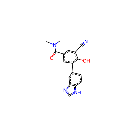 CN(C)C(=O)c1cc(C#N)c(O)c(-c2ccc3[nH]cnc3c2)c1